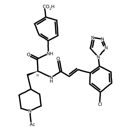 CC(=O)N1CCC(C[C@H](NC(=O)C=Cc2cc(Cl)ccc2-n2cnnn2)C(=O)Nc2ccc(C(=O)O)cc2)CC1